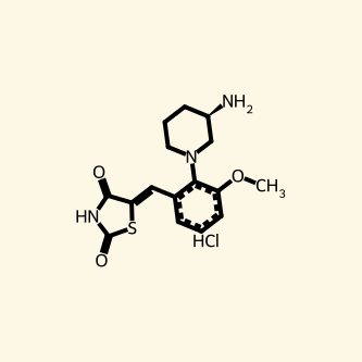 COc1cccc(/C=C2\SC(=O)NC2=O)c1N1CCC[C@@H](N)C1.Cl